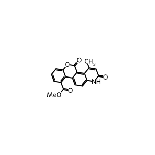 COC(=O)c1cccc2oc(=O)c3c(ccc4[nH]c(=O)cc(C)c43)c12